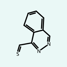 S=Cc1nncc2ccccc12